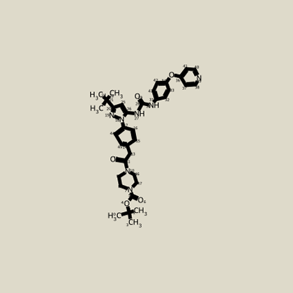 CC(C)(C)OC(=O)N1CCN(C(=O)Cc2ccc(-n3nc(C(C)(C)C)cc3NC(=O)Nc3ccc(Oc4ccncc4)cc3)cc2)CC1